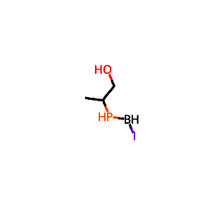 CC(CO)PBI